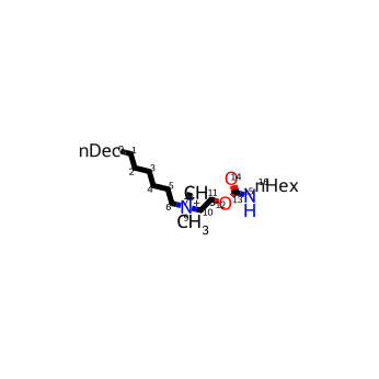 CCCCCCCCCCCCCCCC[N+](C)(C)CCOC(=O)NCCCCCC